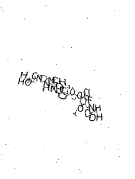 CC(CO)N1CCc2c(nc(C(=O)Nc3cccc(-c4cccc5c4CCC5Oc4cc(OCC5CC5)c(CNC5(C(=O)O)CC5)c(F)c4Cl)c3Cl)n2C)C1